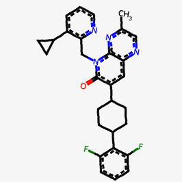 Cc1cnc2cc(C3CCC(c4c(F)cccc4F)CC3)c(=O)n(Cc3ncccc3C3CC3)c2n1